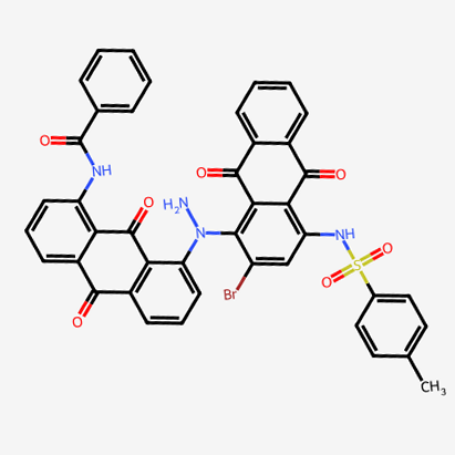 Cc1ccc(S(=O)(=O)Nc2cc(Br)c(N(N)c3cccc4c3C(=O)c3c(NC(=O)c5ccccc5)cccc3C4=O)c3c2C(=O)c2ccccc2C3=O)cc1